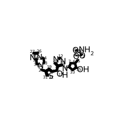 NS(=O)(=O)OCC1C[C@@H](Nc2ncncc2C(=O)c2cc(CN3CCn4ccnc4C3)cs2)C[C@@H]1O